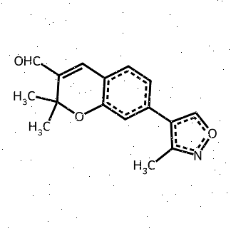 Cc1nocc1-c1ccc2c(c1)OC(C)(C)C(C=O)=C2